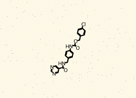 O=C(Nc1ccc(CNC(=O)c2cncnc2)cc1)OCc1ccc(Cl)cc1